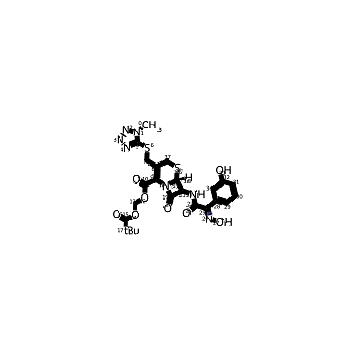 Cn1nnnc1SCC1=C(C(=O)OCOC(=O)C(C)(C)C)N2C(=O)C(NC(=O)/C(=N/O)c3cccc(O)c3)[C@H]2SC1